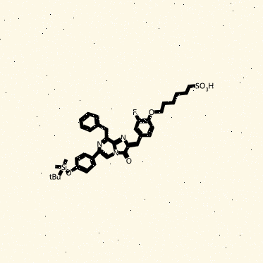 CC(C)(C)[Si](C)(C)Oc1ccc(C2=CN3C(=O)/C(=C/c4ccc(OCCCCCCS(=O)(=O)O)c(F)c4)N=C3C(Cc3ccccc3)=N2)cc1